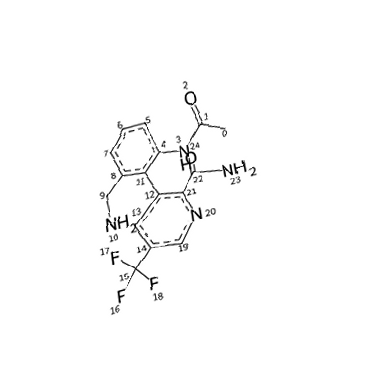 CC(=O)Nc1cccc(CN)c1-c1cc(C(F)(F)F)cnc1C(N)=O